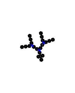 c1ccc(-c2ccc(-c3ccc4c(c3)c3cc(-c5ccc(-c6ccccc6)cc5)ccc3n4-c3ccc(-c4ccc5c(c4)c4cc(C6CCC(n7c8ccc(-c9ccc(-c%10ccccc%10)cc9)cc8c8cc(-c9ccc(-c%10ccccc%10)cc9)ccc87)CC6)ccc4n5-c4ccc(-c5c6ccccc6c(-c6ccccc6)c6ccccc56)cc4)cc3)cc2)cc1